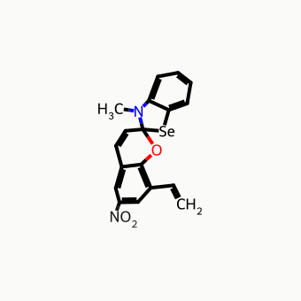 C=Cc1cc([N+](=O)[O-])cc2c1OC1(C=C2)[Se]c2ccccc2N1C